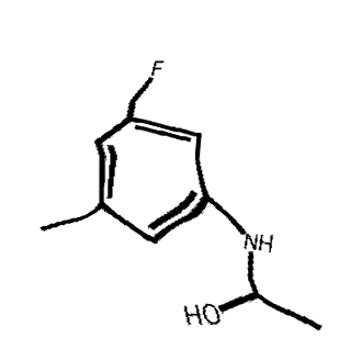 Cc1cc(F)cc(NC(C)O)c1